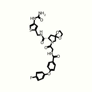 NC(=O)Nc1csc(CNC(=O)[C@@H]2CC3(CN2C(=O)CNC(=O)c2ccc(Oc4ccc(F)cc4)cc2)OCCO3)c1